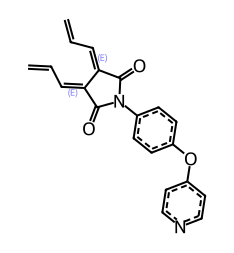 C=C/C=C1/C(=O)N(c2ccc(Oc3ccncc3)cc2)C(=O)/C1=C/C=C